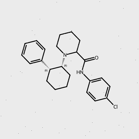 O=C(Nc1ccc(Cl)cc1)C1C[CH]CCN1[C@@H]1CCCC[C@@H]1c1ccccc1